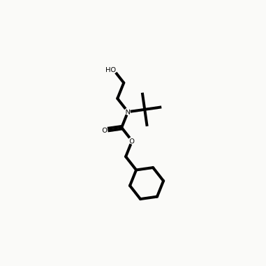 CC(C)(C)N(CCO)C(=O)OCC1CCCCC1